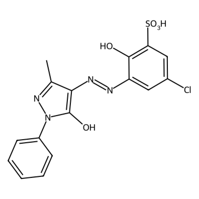 Cc1nn(-c2ccccc2)c(O)c1N=Nc1cc(Cl)cc(S(=O)(=O)O)c1O